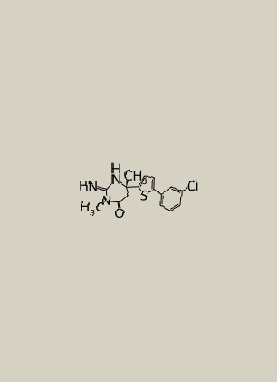 CN1C(=N)N[C@](C)(c2ccc(-c3cccc(Cl)c3)s2)CC1=O